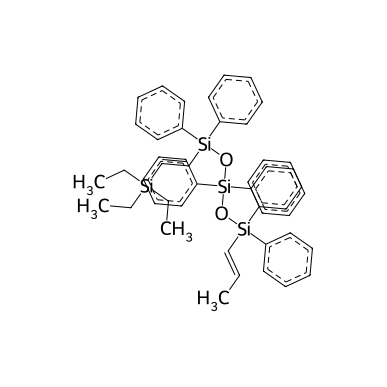 CC=C[Si](O[Si](O[Si](C=C[Si](CC)(CC)CC)(c1ccccc1)c1ccccc1)(c1ccccc1)c1ccccc1)(c1ccccc1)c1ccccc1